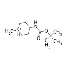 [CH2-][NH+]1CCC(NC(=O)OC(C)(C)C)CC1